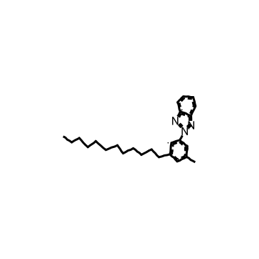 CCCCCCCCCCCCc1[c]c(-n2nc3ccccc3n2)cc(C)c1